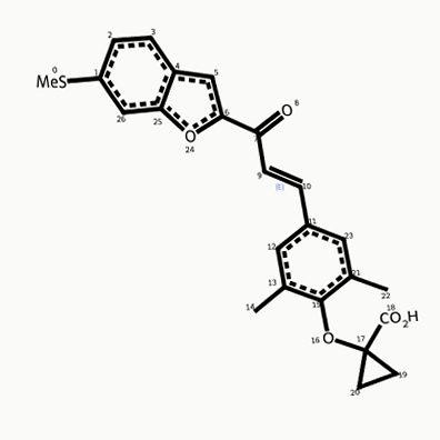 CSc1ccc2cc(C(=O)/C=C/c3cc(C)c(OC4(C(=O)O)CC4)c(C)c3)oc2c1